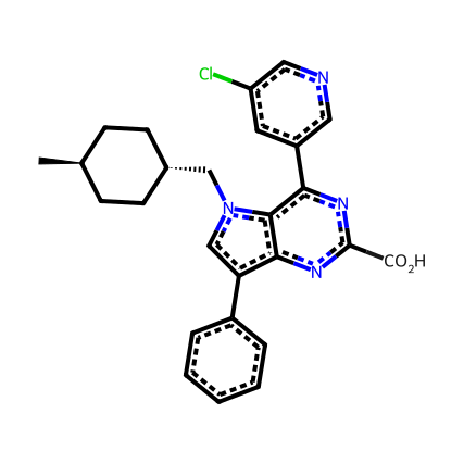 C[C@H]1CC[C@H](Cn2cc(-c3ccccc3)c3nc(C(=O)O)nc(-c4cncc(Cl)c4)c32)CC1